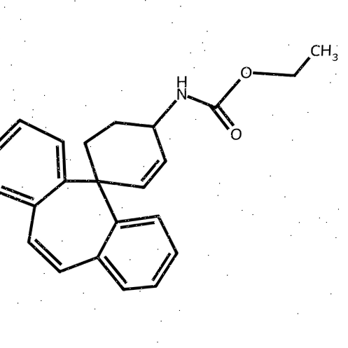 CCOC(=O)NC1C=CC2(CC1)c1ccccc1C=Cc1ccccc12